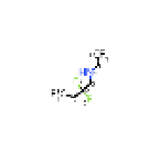 FC(F)(F)CNCC(F)(F)CC(F)(F)F